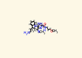 C/N=C(/C)C(/N=C(\C)C(=O)NCCCOC)=C(N)N1CC(CCN)c2ccccc21